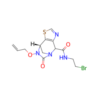 C=CCON1C(=O)N2C[C@H]1c1scnc1C2C(=O)NCCBr